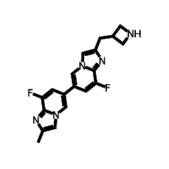 Cc1cn2cc(-c3cc(F)c4nc(CC5CNC5)cn4c3)cc(F)c2n1